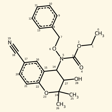 CCOC(=O)N(OCc1ccccc1)C1c2cc(C#N)ccc2OC(C)(C)C1O